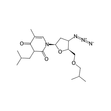 CC1=CN([C@H]2CC(N=[N+]=[N-])[C@@H](COCC(C)C)O2)C(=O)C(CC(C)C)C1=O